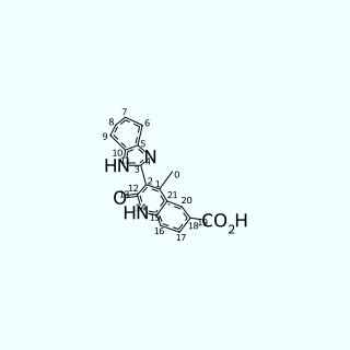 Cc1c(-c2nc3ccccc3[nH]2)c(=O)[nH]c2ccc(C(=O)O)cc12